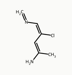 C=N/C=C(Cl)\C=C(/C)N